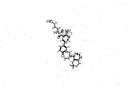 CC1(C)CCc2ncnc(N3CCOc4ccc(-c5cnc(N)c(S(=O)(=O)NCCCO)c5)cc4C3)c2C1